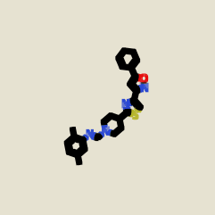 Cc1ccc(C)c(N=CN2CCC(c3nc(-c4cc(C5=CCCC=C5)on4)cs3)CC2)c1